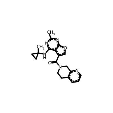 Cc1nc(NC2(C)CC2)c2c(C(=O)N3CCc4cccnc4C3)coc2n1